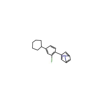 Fc1cc(C2CCCCC2)ccc1-c1cc2cc(c1)N2